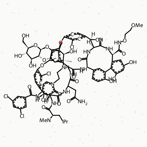 CN[C@H](CC(C)C)C(=O)N[C@H]1C(=O)NC(CC(N)=O)C(=O)NC2C(=O)N[C@H]3C(=O)N[C@H](C(=O)N[C@@H](C(=O)NOCCOC)c4cc(O)cc(O)c4-c4cc3ccc4O)[C@H](O)c3ccc(c(Cl)c3)Oc3cc2cc(c3O[C@@H]2O[C@H](CO)[C@@H](O)[C@H](O)[C@H]2O[C@H]2C[C@](C)(NCCn3ccc(NC(=O)c4cc(Cl)cc(Cl)c4)nc3=O)[C@H](O)[C@H](C)O2)Oc2ccc(cc2Cl)[C@H]1O